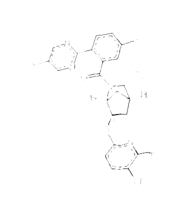 C[C@@H]1[C@H]2C[C@@H](Oc3ccc(C(F)(F)F)c(F)n3)[C@H](C2)N1C(=O)c1cc(F)ccc1-c1ncc(F)cn1